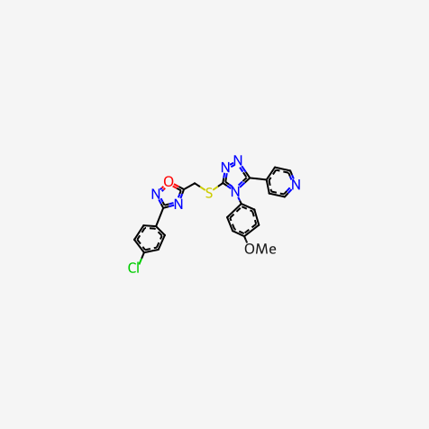 COc1ccc(-n2c(SCc3nc(-c4ccc(Cl)cc4)no3)nnc2-c2ccncc2)cc1